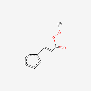 CCCOOC(=O)C=Cc1ccccc1